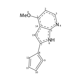 COc1ccnc2[nH]c(C3=C=CC=C3)cc12